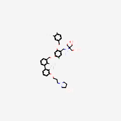 Cc1ccc(COc2cc(OCc3cccc(-c4cccc(OCCCN5CC[C@@H](O)C5)c4C)c3C)c(Cl)cc2CNC(CO)(CO)CO)cc1C